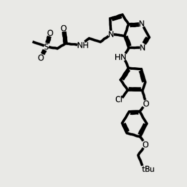 CC(C)(C)COc1cccc(Oc2ccc(Nc3ncnc4ccn(CCNC(=O)CS(C)(=O)=O)c34)cc2Cl)c1